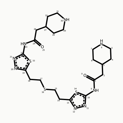 O=C(CC1CCNCC1)Nc1nnc(CCSCCc2nnc(NC(=O)CC3CCNCC3)s2)s1